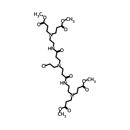 COC(=O)CCN(CCNC(=O)CCN(CCCl)CCC(=O)NCCN(CCC(=O)OC)CCC(=O)OC)CCC(=O)OC